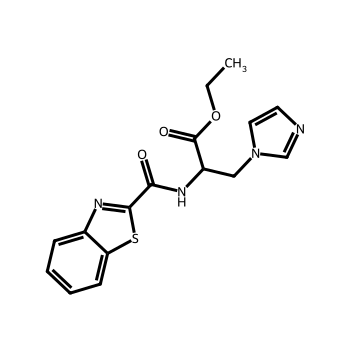 CCOC(=O)C(Cn1ccnc1)NC(=O)c1nc2ccccc2s1